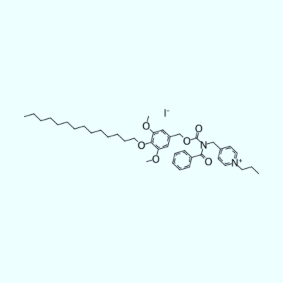 CCCCCCCCCCCCCCOc1c(OC)cc(COC(=O)N(Cc2cc[n+](CCC)cc2)C(=O)c2ccccc2)cc1OC.[I-]